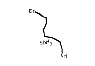 CCCCCS.[SbH3]